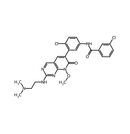 COn1c(=O)c(-c2cc(NC(=O)c3cccc(Cl)c3)ccc2Cl)cc2cnc(NCCN(C)C)nc21